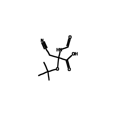 CC(C)(C)OC(CC#N)(NC=O)C(=O)O